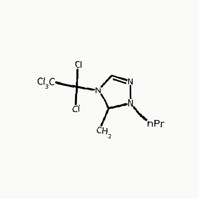 CCCN1N=CN(C(Cl)(Cl)C(Cl)(Cl)Cl)C1C